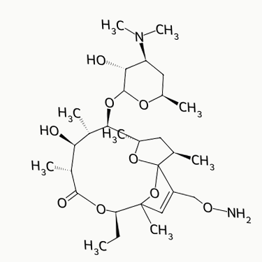 CC[C@H]1OC(=O)[C@H](C)[C@@H](O)[C@H](C)[C@@H](OC2O[C@H](C)C[C@H](N(C)C)[C@H]2O)[C@@]2(C)C[C@@H](C)C3(OC1(C)C=C3CON)O2